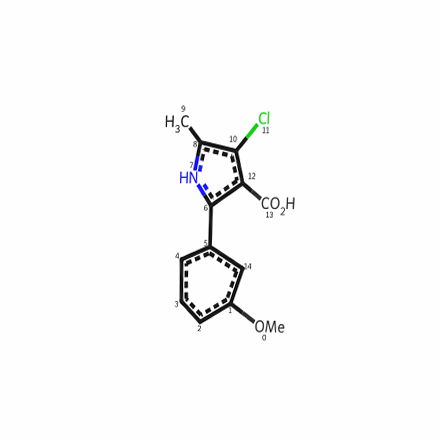 COc1cccc(-c2[nH]c(C)c(Cl)c2C(=O)O)c1